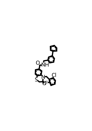 O=C(NCc1cccc(-c2ccccc2)c1)c1ccc2c(c1)N(Cc1c(F)cccc1Cl)C(=O)CS2